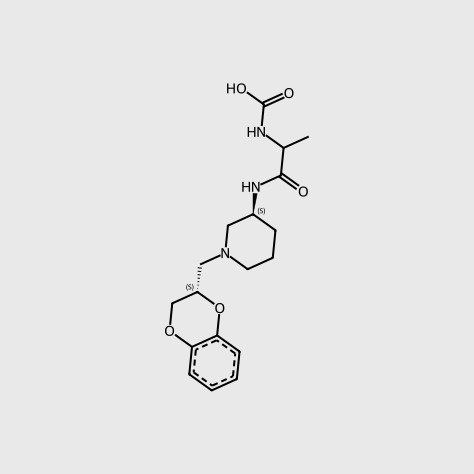 CC(NC(=O)O)C(=O)N[C@H]1CCCN(C[C@H]2COc3ccccc3O2)C1